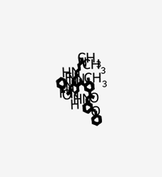 Cc1ccc(C(=O)Nc2cccc(Oc3ccccc3)c2)cc1-c1nc(NCCN(C)C)nc2c1CNC(=O)N2c1c(F)cccc1F